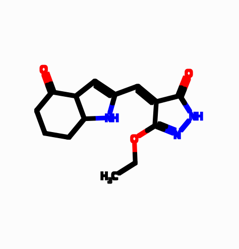 CCOC1=NNC(=O)/C1=C/C1=CC2C(=O)CCCC2N1